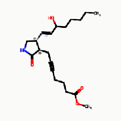 CCCCCC(O)/C=C/[C@H]1CNC(=O)[C@@H]1CC#CCCCC(=O)OC